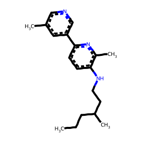 CCCC(C)CCNc1ccc(-c2cncc(C)c2)nc1C